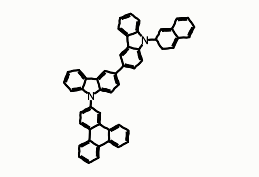 C1=c2ccccc2=CC(n2c3ccccc3c3cc(-c4ccc5c(c4)c4ccccc4n5-c4ccc5c6ccccc6c6ccccc6c5c4)ccc32)C1